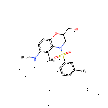 Cc1c(NC(=O)O)ccc2c1N(S(=O)(=O)c1cccc(C(F)(F)F)c1)CC(CO)O2